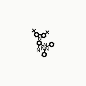 CC(C)(C)c1ccc2c(c1)c1cc(C(C)(C)C)ccc1n2-c1ccc(C#N)c(-c2nc(-c3ccccc3)nc(-c3ccccc3)n2)c1